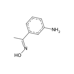 CC(=NO)c1cccc(N)c1